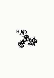 NC(=O)OC1CCN(CCn2c(=O)cnc3ncccc32)C(Cc2ccc3c(c2)OCCO3)C1